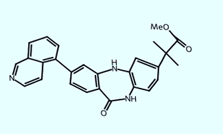 COC(=O)C(C)(C)c1ccc2c(c1)Nc1cc(-c3cccc4cnccc34)ccc1C(=O)N2